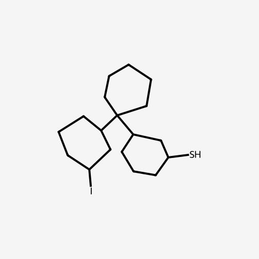 SC1CCCC(C2(C3CCCC(I)C3)CCCCC2)C1